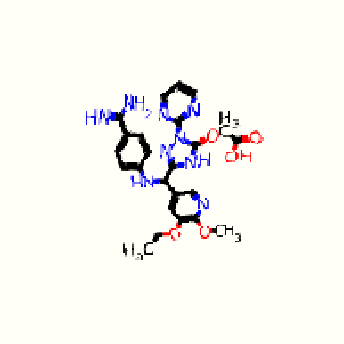 CC(=O)O.CCOc1cc(C(Nc2ccc(C(=N)N)cc2)c2nn(-c3ncccn3)c(=O)[nH]2)cnc1OC